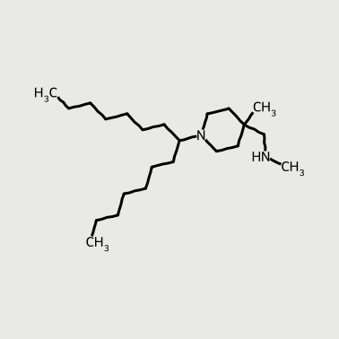 CCCCCCCC(CCCCCCC)N1CCC(C)(CNC)CC1